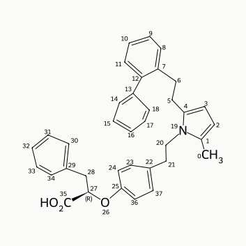 Cc1ccc(CCc2ccccc2-c2ccccc2)n1CCc1ccc(O[C@H](Cc2ccccc2)C(=O)O)cc1